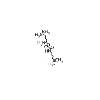 CN(C)CCCCNC(=O)C(=O)OC(N)CCCN(C)C